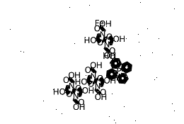 O=C(O)CN(CCN(CC(=O)O)CC(=O)O)CC(=O)O.O=C(O)CN(CCN(CC(=O)O)CC(=O)O)CC(=O)O.O=C(O)CN(CCN(CC(=O)O)CC(=O)O)CC(=O)O.Oc1ccc([PH](c2ccccc2)(c2ccccc2)c2ccccc2)cc1.[Fe]